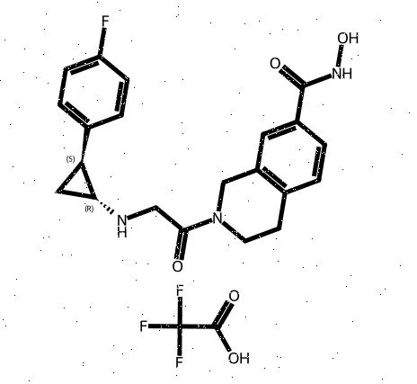 O=C(NO)c1ccc2c(c1)CN(C(=O)CN[C@@H]1C[C@H]1c1ccc(F)cc1)CC2.O=C(O)C(F)(F)F